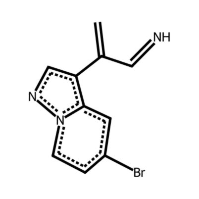 C=C(C=N)c1cnn2ccc(Br)cc12